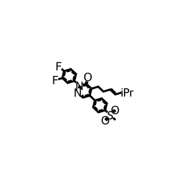 CC(C)C=CCCc1c(-c2ccc(S(C)(=O)=O)cc2)cnn(-c2ccc(F)c(F)c2)c1=O